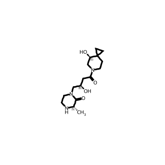 C[C@@H]1NCCN(C[C@H](O)CC(=O)N2CCC3(CC3)[C@H](O)C2)C1=O